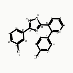 Clc1ccc(-c2ncccc2-c2nc(-c3cccc(Cl)c3)no2)cc1